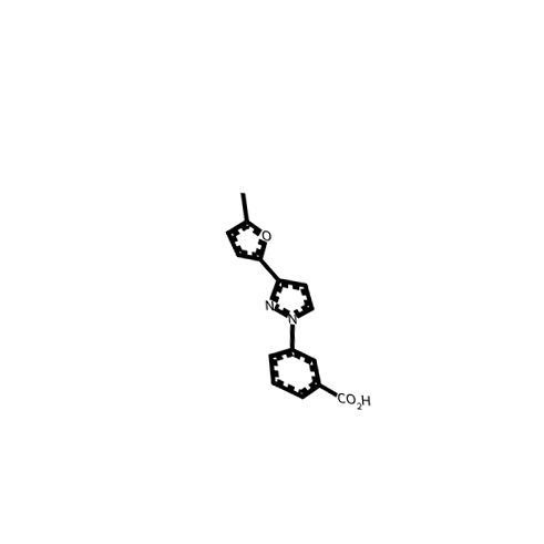 Cc1ccc(-c2ccn(-c3cccc(C(=O)O)c3)n2)o1